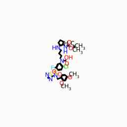 COc1ccc(CN(c2ncns2)S(=O)(=O)c2cc(Cl)c(N(CCCCN[C@@H]3CCC[C@H]3NC(=O)OC(C)(C)C)C(=O)O)cc2F)c(OC)c1